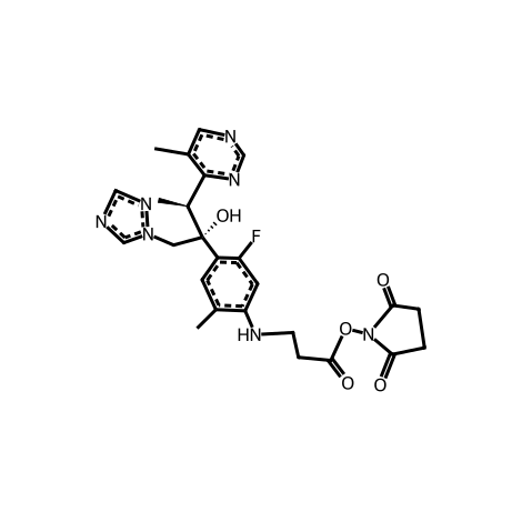 Cc1cc([C@@](O)(Cn2cncn2)[C@@H](C)c2ncncc2C)c(F)cc1NCCC(=O)ON1C(=O)CCC1=O